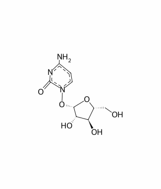 Nc1ccn(O[C@@H]2O[C@H](CO)[C@@H](O)[C@@H]2O)c(=O)n1